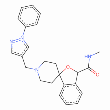 CNC(=O)C1OC2(CCN(Cc3cnn(-c4ccccc4)c3)CC2)c2ccccc21